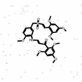 COc1cc(OC)c(C=CS(=O)(=O)Cc2ccc(OC)c(NC=CC(=O)c3c(OC)cc(OC)cc3OC)c2)c(OC)c1